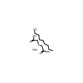 CCCCCCCCO.O=C(O)COCC(=O)O.[NaH]